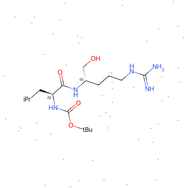 CC(C)C[C@H](NC(=O)OC(C)(C)C)C(=O)N[C@H](CO)CCCNC(=N)N